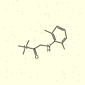 Cc1cccc(C)c1NCC(=O)[N+](C)(C)C